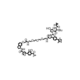 Cc1ncsc1-c1ccc(C(CC(=O)NCCOCCOCCOCCNC(=O)COc2ccc3c(c2)[C@H](NC(=O)c2cc(-c4ccc(C(=O)N(C)C)c(O)c4)on2)CC3)NC(=O)[C@@H]2C[C@@H](O)CN2C(=O)C(NC(=O)C2(F)CC2)C(C)(C)C)cc1